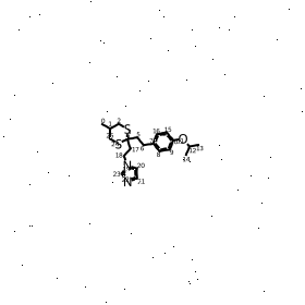 CC1CSC(CCc2ccc(OC(C)C)cc2)(CCn2ccnc2)SC1